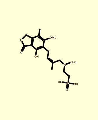 COc1c(C)c2c(c(O)c1CC=C(C)CN(C=O)CCP(=O)(O)O)C(=O)OC2